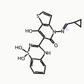 O=c1c(C2=NS(O)(O)c3ccccc3N2)c(O)c2sccc2n1/N=C/C1CC1